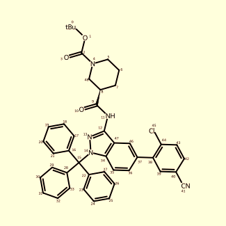 CC(C)(C)OC(=O)N1CCC[C@@H](C(=O)Nc2nn(C(c3ccccc3)(c3ccccc3)c3ccccc3)c3ccc(-c4cc(C#N)ccc4Cl)cc23)C1